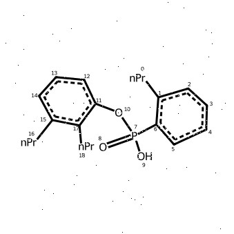 CCCc1ccccc1P(=O)(O)Oc1cccc(CCC)c1CCC